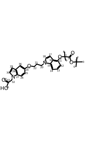 CC(C)(C)OC(=O)C(C)(C)Oc1cccc2c1ccn2CCCOc1ccc2c(ccn2CC(=O)O)c1